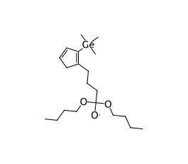 CCCCOC([O])(CCCC1=[C]([Ge]([CH3])([CH3])[CH3])C=CC1)OCCCC